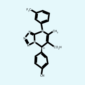 CC1=C(C(=O)O)[C@@H](c2ccc(C#N)cc2)n2nnnc2N1c1cccc(C(F)(F)F)c1